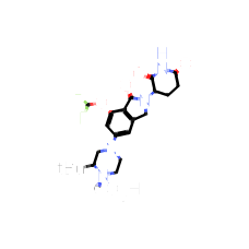 CC(C)(C)C1CN(c2cc3c(c(OC(F)F)c2)C(=O)N(C2CCC(=O)NC2=O)C3)CCN1C(=O)O